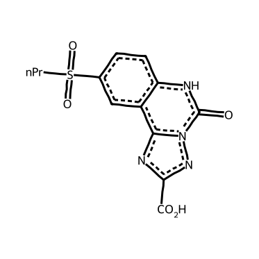 CCCS(=O)(=O)c1ccc2[nH]c(=O)n3nc(C(=O)O)nc3c2c1